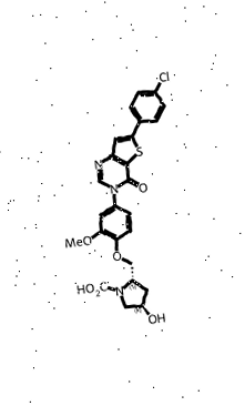 COc1cc(-n2cnc3cc(-c4ccc(Cl)cc4)sc3c2=O)ccc1OC[C@@H]1C[C@@H](O)CN1C(=O)O